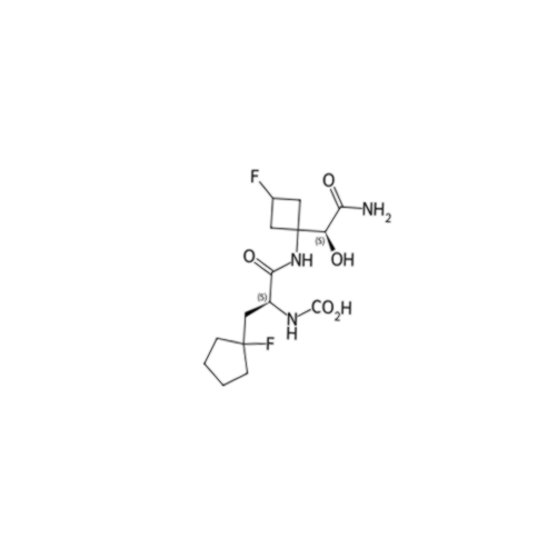 NC(=O)[C@@H](O)C1(NC(=O)[C@H](CC2(F)CCCC2)NC(=O)O)CC(F)C1